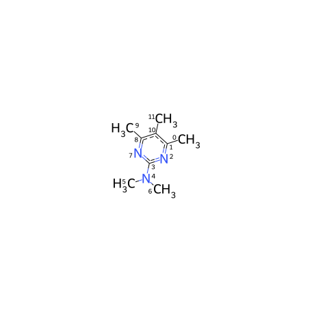 Cc1nc(N(C)C)nc(C)c1C